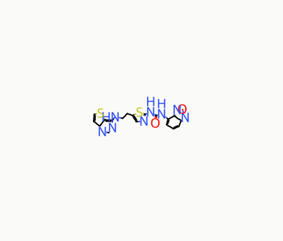 O=C(Nc1ncc(CCNc2ncnc3ccsc23)s1)Nc1cccc2nonc12